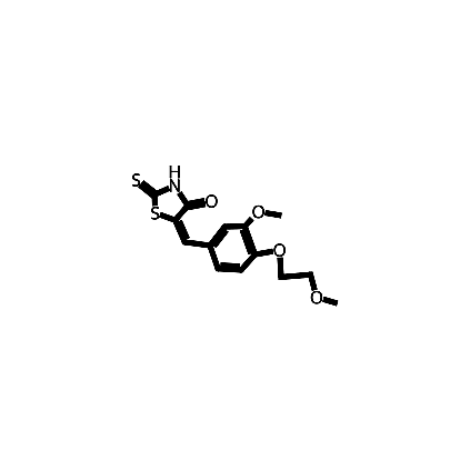 COCCOc1ccc(C=C2SC(=S)NC2=O)cc1OC